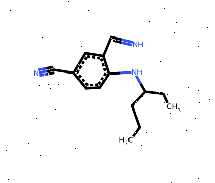 CCCC(CC)Nc1ccc(C#N)cc1C=N